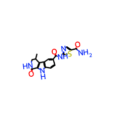 CC1CNC(=O)c2[nH]c3ccc(C(=O)Nc4ncc(C(N)=O)s4)cc3c21